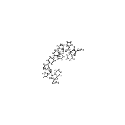 COC(=O)N[C@H](C(=O)N1CCC[C@@H]1c1ncc(-c2ccc(-c3ccc(-c4cnc([C@@H]5CCCN5C(=O)[C@@H](NC(=O)OC)C5CCCCC5)[nH]4)c4c3C3CCC4CC3)cc2)[nH]1)C1CCCCC1